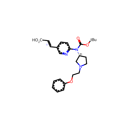 CC(C)(C)OC(=O)N(c1ccc(/C=C/C(=O)O)cn1)[C@@H]1CCN(CCOc2ccccc2)C1